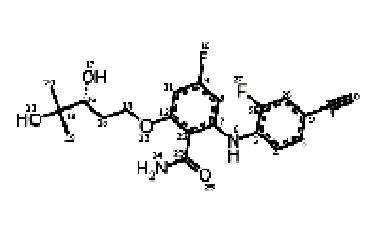 C#Cc1ccc(Nc2cc(F)cc(OCC[C@@H](O)C(C)(C)O)c2C(N)=O)c(F)c1